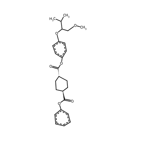 COCC(Oc1ccc(OC(=O)[C@H]2CC[C@H](C(=O)Oc3ccccc3)CC2)cc1)C(C)C